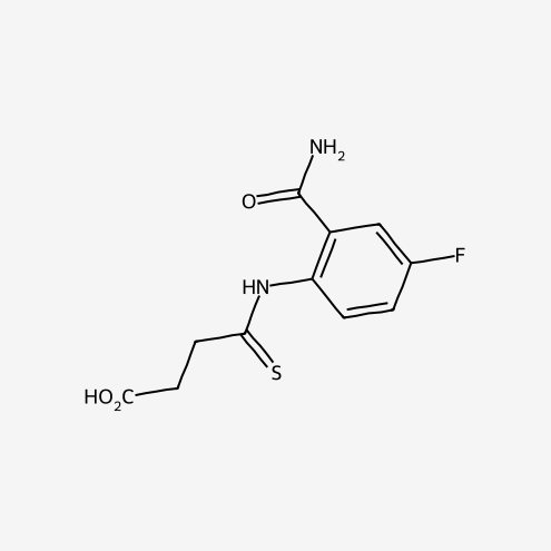 NC(=O)c1cc(F)ccc1NC(=S)CCC(=O)O